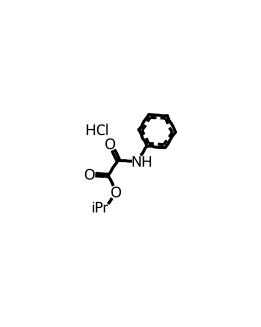 CC(C)OC(=O)C(=O)Nc1ccccc1.Cl